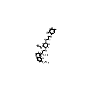 COc1ccc2nccc([C@H](O)CC[C@@H]3CCN(CCCSc4cc(F)ccc4F)C[C@@H]3CO)c2c1